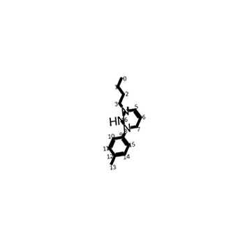 CCCCN1C=CCN(c2ccc(C)cc2)N1